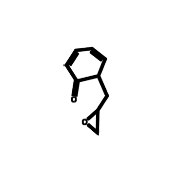 O=C1[C]=CC=CC1CC1CO1